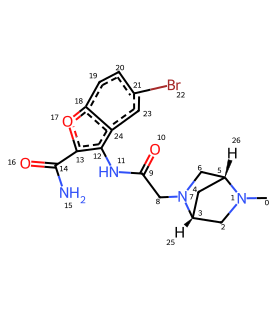 CN1C[C@H]2C[C@@H]1CN2CC(=O)Nc1c(C(N)=O)oc2ccc(Br)cc12